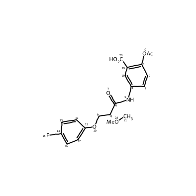 CC(=O)Oc1ccc(NC(=O)CCOc2ccc(F)cc2)cc1C(=O)O.COC